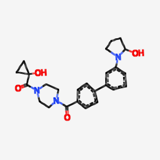 O=C(c1ccc(-c2cccc(N3CCCC3O)c2)cc1)N1CCN(C(=O)C2(O)CC2)CC1